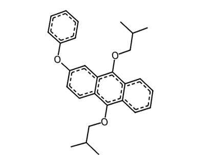 CC(C)COc1c2ccccc2c(OCC(C)C)c2cc(Oc3ccccc3)ccc12